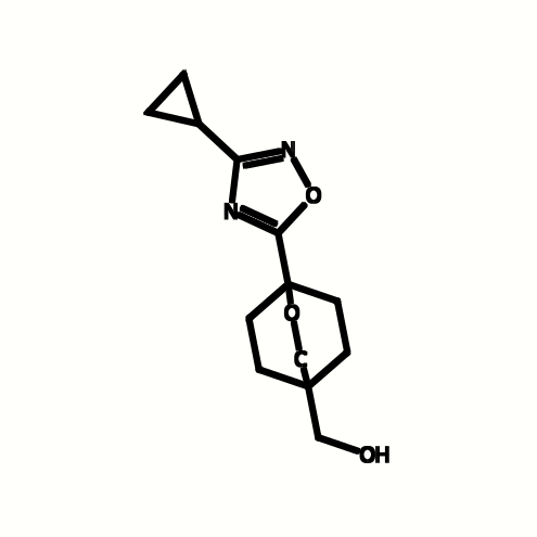 OCC12CCC(c3nc(C4CC4)no3)(CC1)OC2